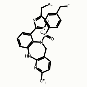 CC(=O)Cc1nc(-c2cccc3c2N(S(=O)(=O)c2ccc(CF)cc2)Cc2ccc(C(F)(F)F)nc2N3)no1